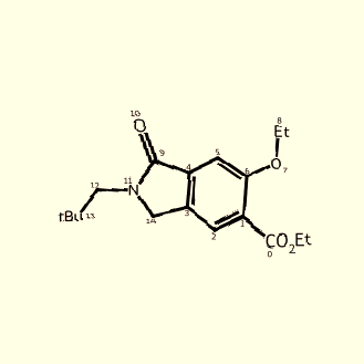 CCOC(=O)c1cc2c(cc1OCC)C(=O)N(CC(C)(C)C)C2